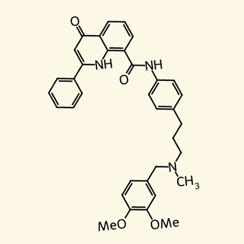 COc1ccc(CN(C)CCCc2ccc(NC(=O)c3cccc4c(=O)cc(-c5ccccc5)[nH]c34)cc2)cc1OC